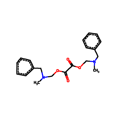 CN(COC(=O)C(=O)OCN(C)Cc1ccccc1)Cc1ccccc1